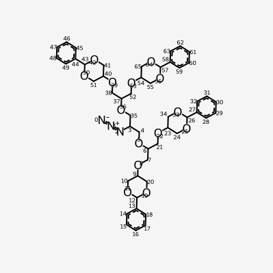 [N-]=[N+]=NC(COC(COC1COC(c2ccccc2)OC1)COC1COC(c2ccccc2)OC1)COC(COC1COC(c2ccccc2)OC1)COC1COC(c2ccccc2)OC1